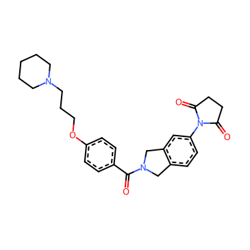 O=C(c1ccc(OCCCN2CCCCC2)cc1)N1Cc2ccc(N3C(=O)CCC3=O)cc2C1